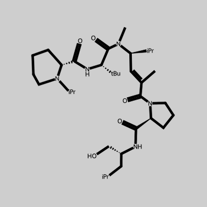 C/C(=C\[C@H](C(C)C)N(C)C(=O)[C@@H](NC(=O)[C@H]1CCCCN1C(C)C)C(C)(C)C)C(=O)N1CCC[C@H]1C(=O)N[C@@H](CO)CC(C)C